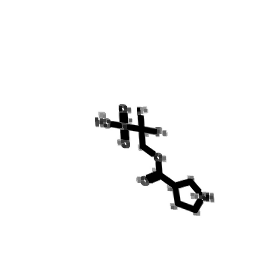 O=C(OCC(F)(F)S(=O)(=O)O)C1CCNC1